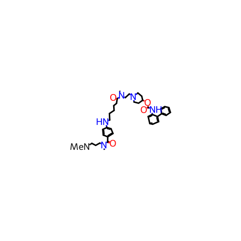 CNCCCN(C)C(=O)c1ccc(NCCCCCC(=O)N(C)CCN2CCC(OC(=O)Nc3ccccc3-c3ccccc3)CC2)cc1